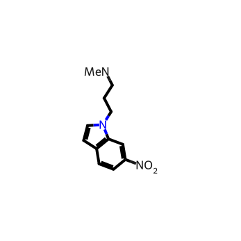 CNCCCn1ccc2ccc([N+](=O)[O-])cc21